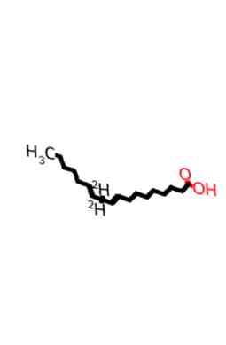 [2H]C([2H])(C=CCCCCC)C=CCCCCCCCC(=O)O